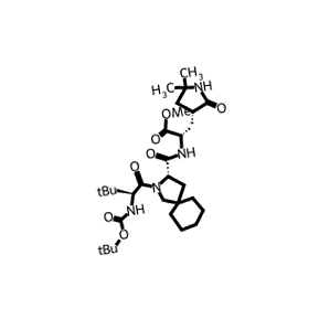 COC(=O)[C@H](C[C@@H]1CC(C)(C)NC1=O)NC(=O)[C@@H]1CC2(CCCCC2)CN1C(=O)[C@@H](NC(=O)OC(C)(C)C)C(C)(C)C